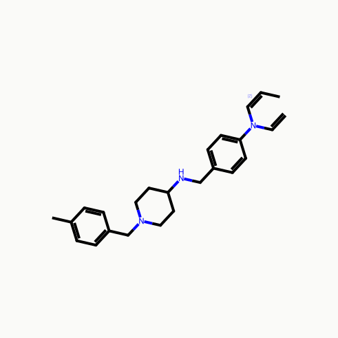 C=CN(/C=C\C)c1ccc(CNC2CCN(Cc3ccc(C)cc3)CC2)cc1